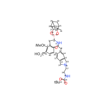 COc1c(CC(NC(=O)Cc2ccc3c(c2)CN(CCNC(=O)OC(C)(C)C)C3)B2OC3CC4CC(C4(C)C)C3(C)O2)cccc1C(=O)O